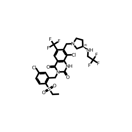 CCS(=O)(=O)c1ccc(Cl)cc1Cn1c(=O)[nH]c2c(Cl)c(CN3CC[C@@H](NCC(F)(F)F)C3)c(C(F)(F)F)cc2c1=O